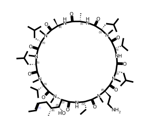 C/C=C/C[C@@H](C)[C@@H](O)[C@H]1C(=O)N[C@@H](CC)C(=O)N(C)[C@H](CCN)C(=O)N(C)[C@@H](CC(C)C)C(=O)N[C@@H](C(C)C)C(=O)N(C)[C@@H](CC(C)C)C(=O)N[C@@H](C)C(=O)N[C@H](C)C(=O)N(C)[C@@H](CC(C)C)C(=O)N(C)[C@@H](CC(C)C)C(=O)N(C)[C@@H](C(C)C)C(=O)N1C